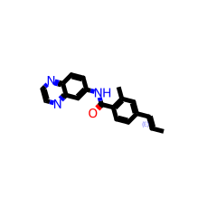 C/C=C/c1ccc(C(=O)Nc2ccc3nccnc3c2)c(C)c1